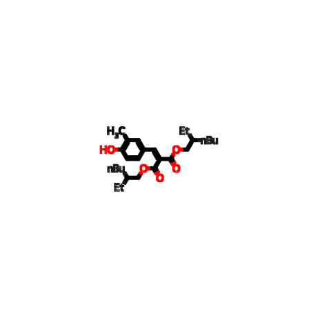 CCCCC(CC)COC(=O)C(=Cc1ccc(O)c(C)c1)C(=O)OCC(CC)CCCC